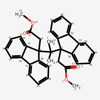 COC(=O)CC1(C(C)(C)C2(CC(=O)OC)c3ccccc3-c3ccccc32)c2ccccc2-c2ccccc21